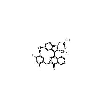 Cc1c(-c2nn(Cc3cc(F)c(F)cc3F)c(=O)c3ccccc23)c2cc(Cl)ccc2n1CC(=O)O